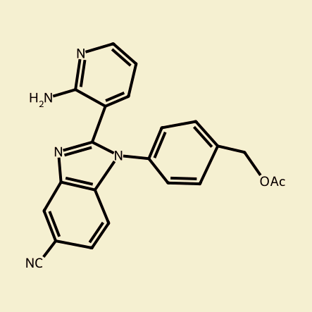 CC(=O)OCc1ccc(-n2c(-c3cccnc3N)nc3cc(C#N)ccc32)cc1